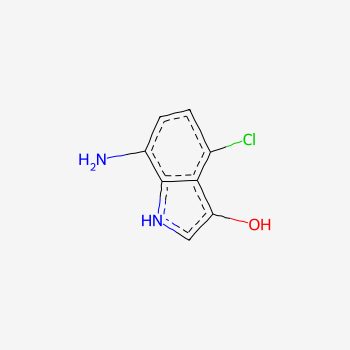 Nc1ccc(Cl)c2c(O)c[nH]c12